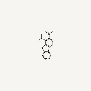 CC(C)c1c(N(C)C)ccc2c1[CH]c1ccccc1-2